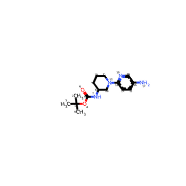 CC(C)(C)OC(=O)NC1CCCN(c2ccc(N)cn2)C1